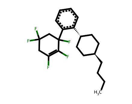 CCCC[C@H]1CC[C@H](c2ccccc2C2(F)CC(F)(F)CC(F)=C2F)CC1